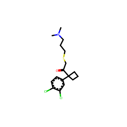 CN(C)CCCSCC(=O)C1(c2ccc(Cl)c(Cl)c2)CCC1